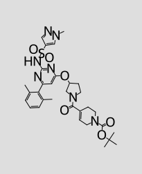 Cc1cccc(C)c1-c1cc(OC2CCN(C(=O)C3=CCN(C(=O)OC(C)(C)C)CC3)C2)nc(NS(=O)(=O)c2cnn(C)c2)n1